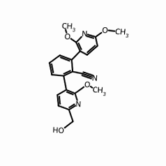 COc1ccc(-c2cccc(-c3ccc(CO)nc3OC)c2C#N)c(OC)n1